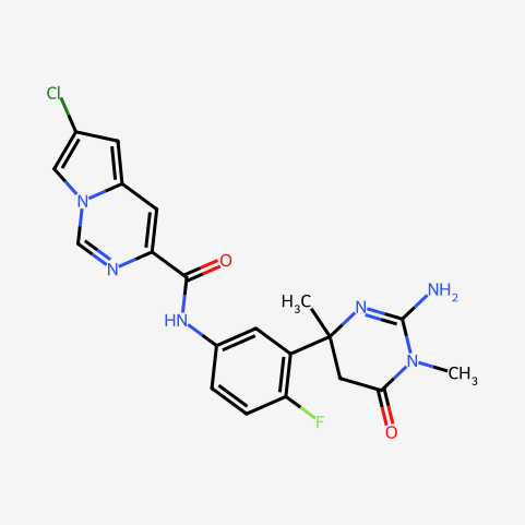 CN1C(=O)CC(C)(c2cc(NC(=O)c3cc4cc(Cl)cn4cn3)ccc2F)N=C1N